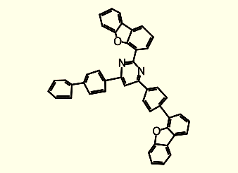 c1ccc(-c2ccc(-c3cc(-c4ccc(-c5cccc6c5oc5ccccc56)cc4)nc(-c4cccc5c4oc4ccccc45)n3)cc2)cc1